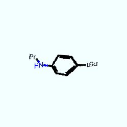 CC(C)Nc1ccc(C(C)(C)C)cc1